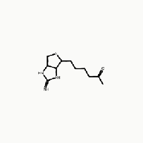 CC(=O)CCCCC1SCC2NC(=N)NC21